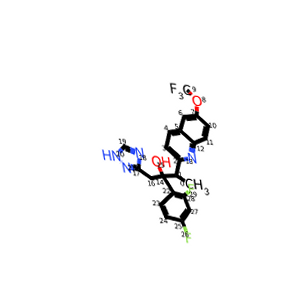 CC(c1ccc2cc(OC(F)(F)F)ccc2n1)C(O)(Cc1nc[nH]n1)c1ccc(F)cc1F